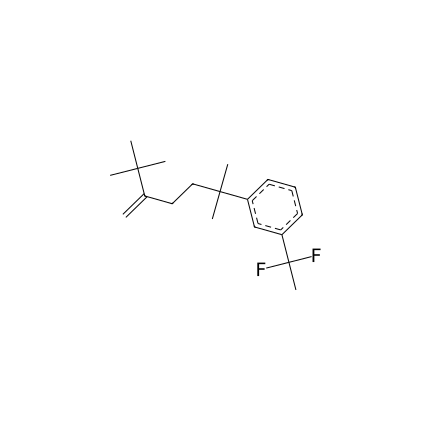 C=C(CCC(C)(C)c1cccc(C(C)(F)F)c1)C(C)(C)C